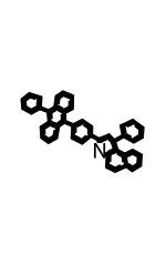 c1ccc(-c2c3ccccc3c(-c3ccc(-c4cc(-c5ccccc5)c5c(ccc6ccccc65)n4)cc3)c3ccccc23)cc1